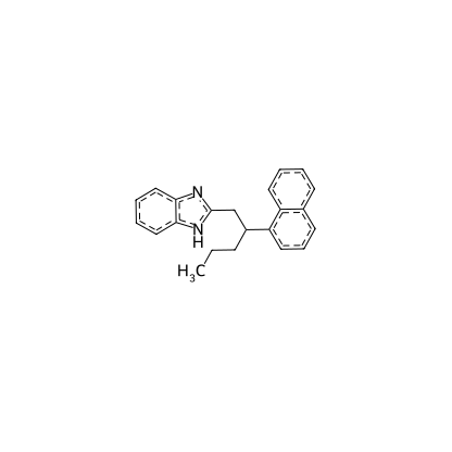 CCCC(Cc1nc2ccccc2[nH]1)c1cccc2ccccc12